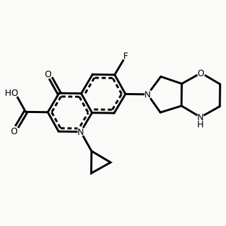 O=C(O)c1cn(C2CC2)c2cc(N3CC4NCCOC4C3)c(F)cc2c1=O